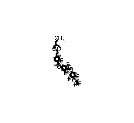 CCCC1COC(CCc2ccc(C(F)(F)Oc3cc(F)c(C(F)(F)Oc4cc(F)c(OC=C(F)F)c(F)c4)c(F)c3)c(F)c2)OC1